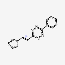 C(=C\c1nnc(-c2ccccc2)nn1)/c1ccsc1